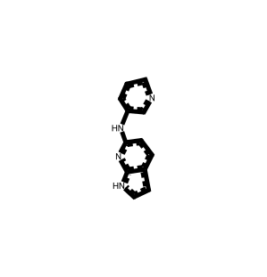 c1cncc(Nc2ccc3cc[nH]c3n2)c1